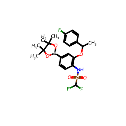 CC(Oc1cc(B2OC(C)(C)C(C)(C)O2)ccc1NS(=O)(=O)C(F)F)c1ccc(F)cc1